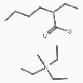 CCCCC(CC)C(=O)[O-].CC[N+](C)(CC)CC